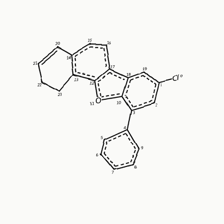 Clc1cc(-c2ccccc2)c2oc3c4c(ccc3c2c1)C=CCC4